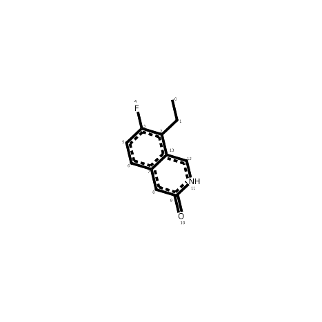 CCc1c(F)ccc2cc(=O)[nH]cc12